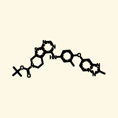 Cc1nc2cc(Oc3ccc(Nc4ncnc5sc6c(c45)CCN(C(=O)OC(C)(C)C)C6)cc3C)ccn2n1